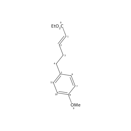 CCOC(=O)/C=C/CCc1ccc(OC)cc1